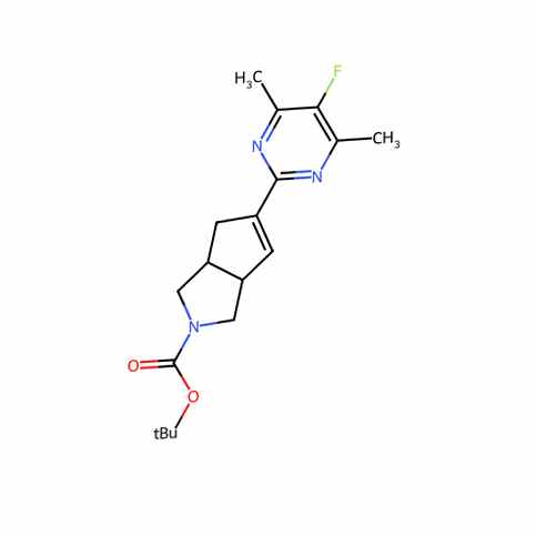 Cc1nc(C2=CC3CN(C(=O)OC(C)(C)C)CC3C2)nc(C)c1F